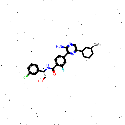 COC1CCCC(c2cnc(N)c(-c3ccc(C(=O)N[C@H](CO)c4cccc(Cl)c4)c(F)c3)n2)C1